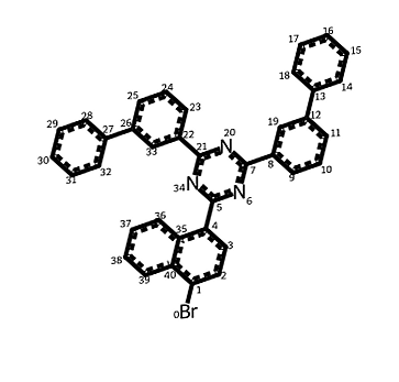 Brc1ccc(-c2nc(-c3cccc(-c4ccccc4)c3)nc(-c3cccc(-c4ccccc4)c3)n2)c2ccccc12